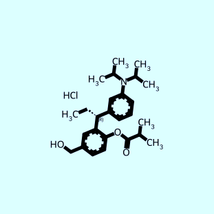 CC[C@H](c1cccc(N(C(C)C)C(C)C)c1)c1cc(CO)ccc1OC(=O)C(C)C.Cl